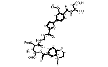 CCCCCC(C(=O)NCNC(=O)c1ccc(-c2ccc(C(=O)NC(CC(=O)O)C(=O)O)c(OCC)c2)o1)[C@@H](CC)N(C=O)OC(=O)c1ccc2c(c1)N(C)CCO2